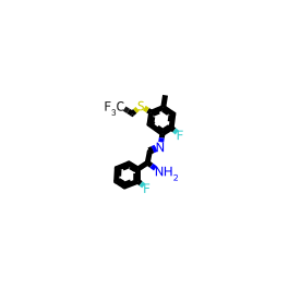 Cc1cc(F)c(/N=C/C(N)c2ccccc2F)cc1SCC(F)(F)F